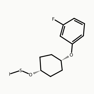 Fc1cccc(O[C@H]2CC[C@@H](OSI)CC2)c1